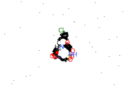 CO[C@@]1(C=O)/C=C/C[C@H](C)[C@@H](C)S(=O)(=O)NC(=O)c2ccc3c(c2)N(CCCCc2cc(Cl)ccc2CO3)C[C@@H]2CC[C@H]21